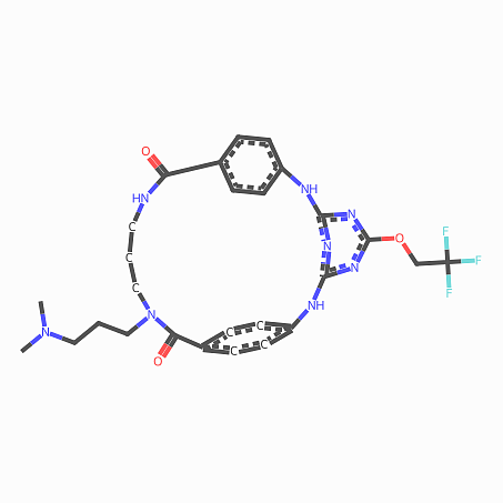 CN(C)CCCN1CCCNC(=O)c2ccc(cc2)Nc2nc(nc(OCC(F)(F)F)n2)Nc2ccc(cc2)C1=O